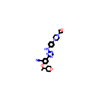 CC(Oc1ccc(-c2ncnc(Nc3ccc(N4CCN(C5COC5)CC4)cc3)n2)cc1C#N)C1CCOCC1